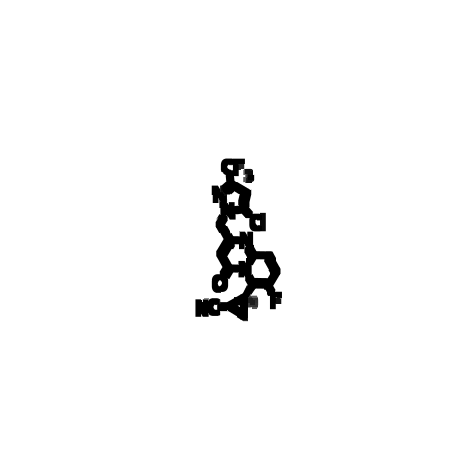 N#CC1C[C@@H]1c1c(F)ccc2nc(Cn3nc(C(F)(F)F)cc3Cl)cc(=O)n12